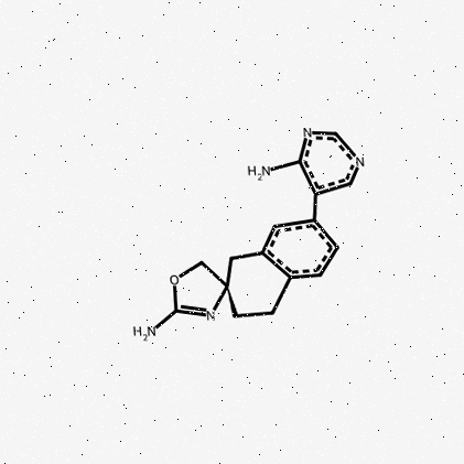 NC1=N[C@]2(CCc3ccc(-c4cncnc4N)cc3C2)CO1